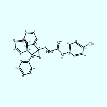 O=C(NCC1(c2ccccc2)CC1(c1ccccc1)c1ccccc1)Oc1ccc(Cl)cc1